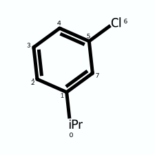 CC(C)c1[c]ccc(Cl)c1